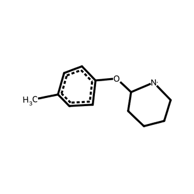 Cc1ccc(OC2CCCC[N]2)cc1